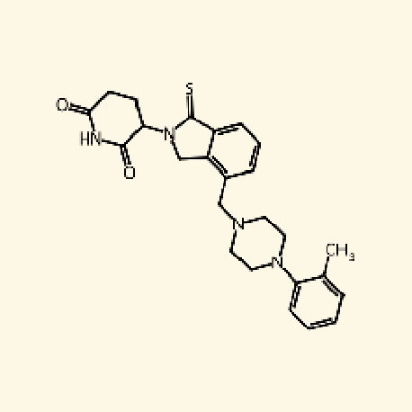 Cc1ccccc1N1CCN(Cc2cccc3c2CN(C2CCC(=O)NC2=O)C3=S)CC1